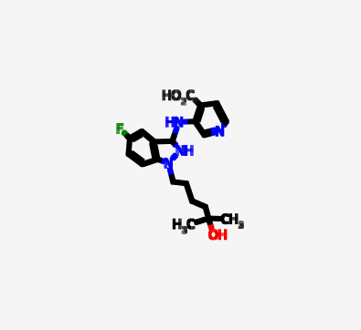 CC(C)(O)CCCCN1NC(Nc2cnccc2C(=O)O)c2cc(F)ccc21